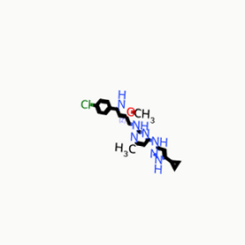 CO/C(=C\C(=N)c1ccc(Cl)cc1)CNc1nc(C)cc(Nc2cc(C3CC3)[nH]n2)n1